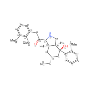 COc1ccccc1[C@]1(O)C[C@H](CC#N)C[C@H]2C(C(=O)Cc3cccc(OC)c3OC)NC[C@H]21